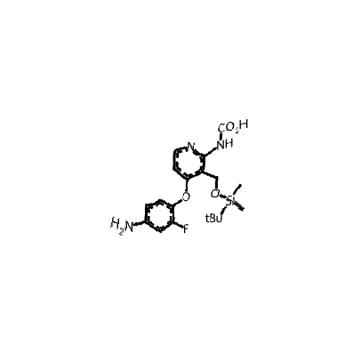 CC(C)(C)[Si](C)(C)OCc1c(Oc2ccc(N)cc2F)ccnc1NC(=O)O